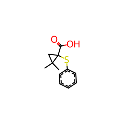 CC1(C)CC1(Sc1ccccc1)C(=O)O